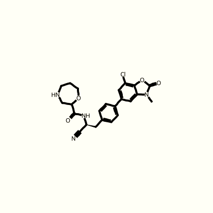 Cn1c(=O)oc2c(Cl)cc(-c3ccc(C[C@@H](C#N)NC(=O)C4CNCCCO4)cc3)cc21